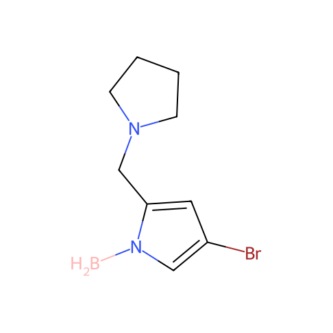 Bn1cc(Br)cc1CN1CCCC1